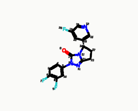 O=c1n(-c2ccc(F)c(F)c2)nc2n1[C@H](c1cncc(F)c1)CC2